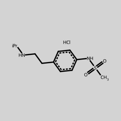 CC(C)NCCc1ccc(NS(C)(=O)=O)cc1.Cl